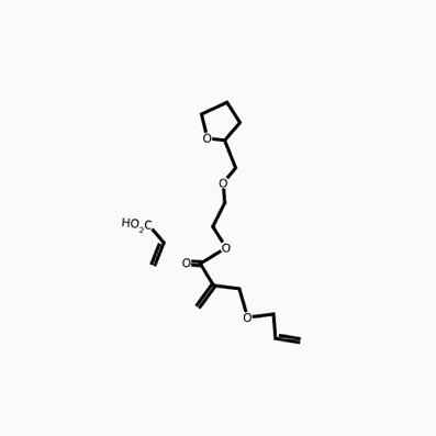 C=CC(=O)O.C=CCOCC(=C)C(=O)OCCOCC1CCCO1